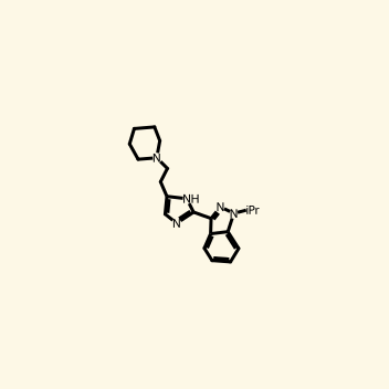 CC(C)n1nc(-c2ncc(CCN3CCCCC3)[nH]2)c2ccccc21